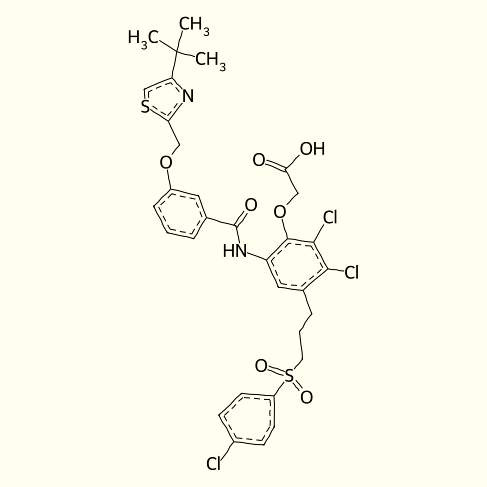 CC(C)(C)c1csc(COc2cccc(C(=O)Nc3cc(CCCS(=O)(=O)c4ccc(Cl)cc4)c(Cl)c(Cl)c3OCC(=O)O)c2)n1